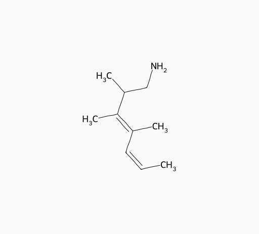 C/C=C\C(C)=C(/C)C(C)CN